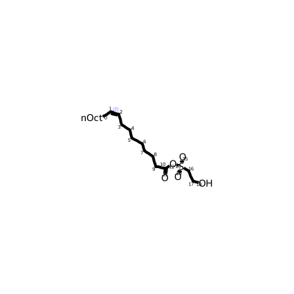 CCCCCCCC/C=C\CCCCCCCC(=O)OS(=O)(=O)CCO